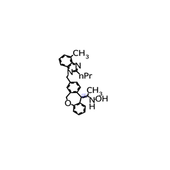 CCCc1nc2c(C)cccc2n1Cc1ccc2c(c1)COc1ccccc1/C2=C(/C)NO